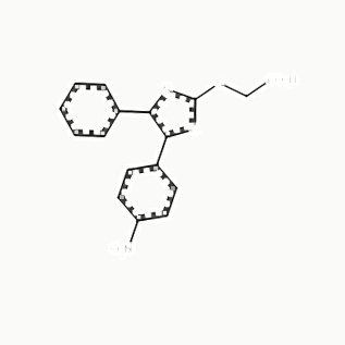 O=C(O)CSc1nc(-c2ccccc2)c(-c2ccc([N+](=O)[O-])cc2)o1